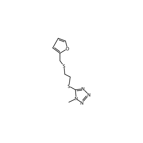 Cn1nnnc1SCCSCc1ccco1